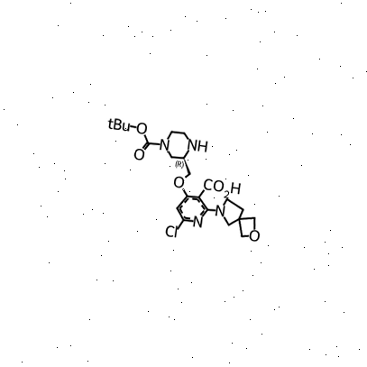 CC(C)(C)OC(=O)N1CCN[C@@H](COc2cc(Cl)nc(N3CCC4(COC4)C3)c2C(=O)O)C1